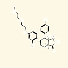 COCCOCCOc1ccc([C@@H]2CC[C@@]3(C)C(=O)N[C@H](C)[C@H]3[C@H]2c2ccc(Cl)cc2)c(Cl)c1